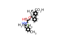 Cc1ccc(CC(C)(C)NC[C@H](O)COC(C)c2ccccc2-c2ccc(C(=O)O)c(C)c2)c(F)c1